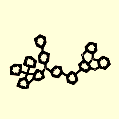 c1ccc(-c2ccc(N(c3ccc(-c4cccc(-c5cc6c7c(c5)Oc5ccccc5N7c5ccccc5O6)c4)cc3)c3ccc4c(c3)C(c3ccccc3)(c3ccccc3)c3ccccc3-4)cc2)cc1